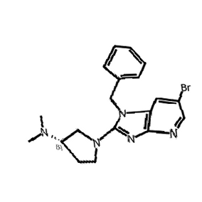 CN(C)[C@H]1CCN(c2nc3ncc(Br)cc3n2Cc2ccccc2)C1